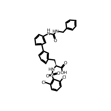 O=C(NCc1ccccc1)Nc1cccc(-c2cccc(C[C@H](NS(=O)(=O)c3c(Cl)cccc3Cl)C(=O)O)c2)c1